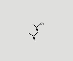 C=C(C)C=C(C)CCC